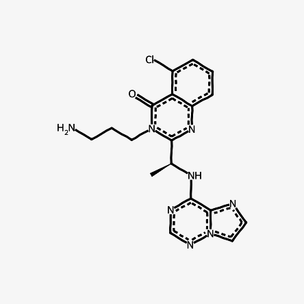 C[C@H](Nc1ncnn2ccnc12)c1nc2cccc(Cl)c2c(=O)n1CCCN